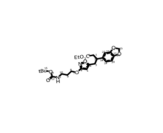 CCOC(=O)CC(Cc1cc(OCCCNC(=O)OC(C)(C)C)no1)c1ccc2c(c1)OCO2